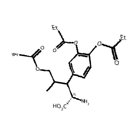 CCC(=O)Oc1ccc(C(C(C)COC(=O)C(C)C)[C@H](N)C(=O)O)cc1OC(=O)CC